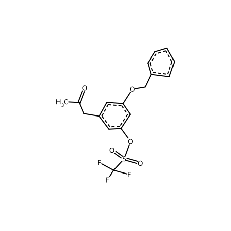 CC(=O)Cc1cc(OCc2ccccc2)cc(OS(=O)(=O)C(F)(F)F)c1